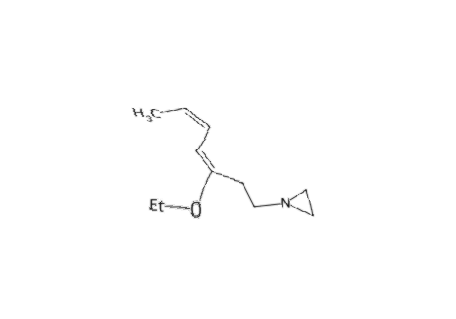 C/C=C\C=C(/CCN1CC1)OCC